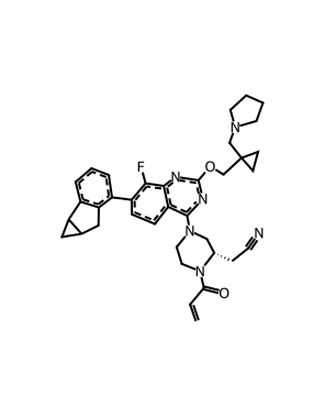 C=CC(=O)N1CCN(c2nc(OCC3(CN4CCCC4)CC3)nc3c(F)c(-c4cccc5c4CC4CC54)ccc23)C[C@@H]1CC#N